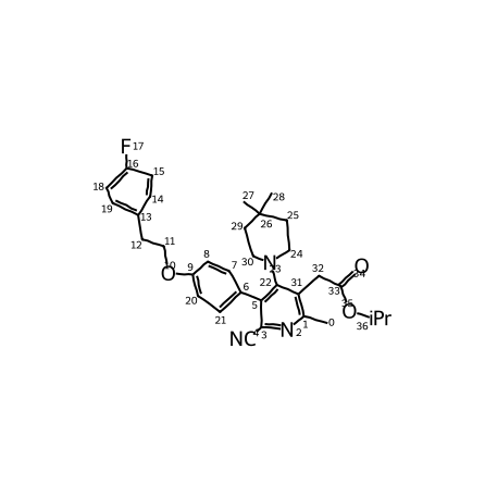 Cc1nc(C#N)c(-c2ccc(OCCc3ccc(F)cc3)cc2)c(N2CCC(C)(C)CC2)c1CC(=O)OC(C)C